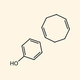 C1=CCCC=CCC1.Oc1ccccc1